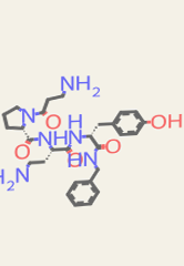 NCCC(=O)N1CCC[C@H]1C(=O)N[C@@H](CCN)C(=O)N[C@H](Cc1ccc(O)cc1)C(=O)NCc1ccccc1